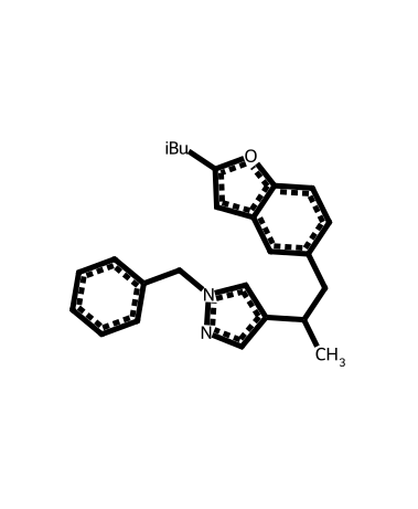 CCC(C)c1cc2cc(CC(C)c3cnn(Cc4ccccc4)c3)ccc2o1